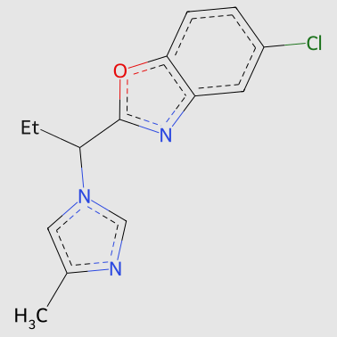 CCC(c1nc2cc(Cl)ccc2o1)n1cnc(C)c1